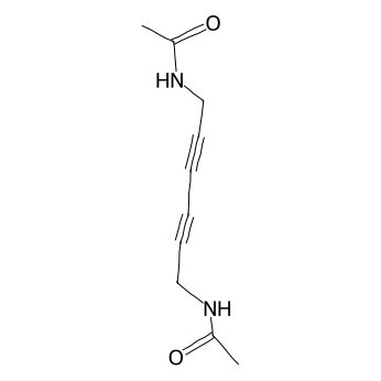 CC(=O)NCC#CC#CCNC(C)=O